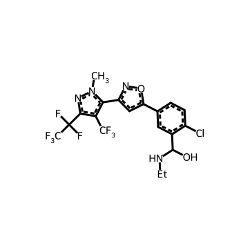 CCNC(O)c1cc(-c2cc(-c3c(C(F)(F)F)c(C(F)(F)C(F)(F)F)nn3C)no2)ccc1Cl